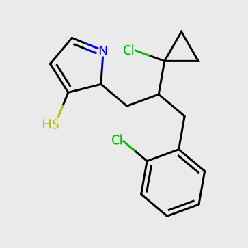 SC1=CC=NC1CC(Cc1ccccc1Cl)C1(Cl)CC1